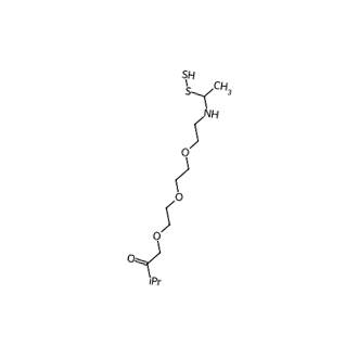 CC(NCCOCCOCCOCC(=O)C(C)C)SS